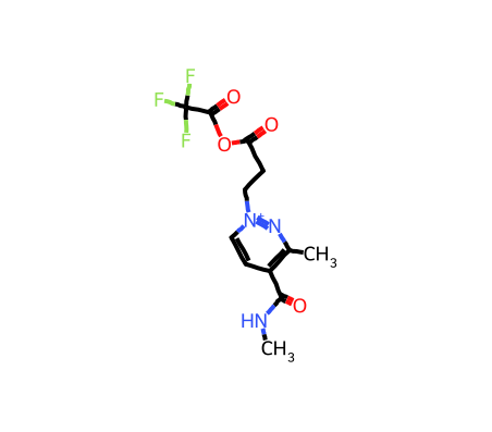 CNC(=O)c1cc[n+](CCC(=O)OC(=O)C(F)(F)F)nc1C